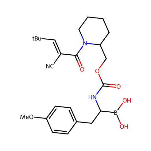 COc1ccc(CC(NC(=O)OCC2CCCCN2C(=O)C(C#N)=CC(C)(C)C)B(O)O)cc1